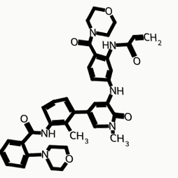 C=CC(=O)Nc1cc(Nc2cc(-c3cccc(NC(=O)c4ccccc4N4CCOCC4)c3C)cn(C)c2=O)ccc1C(=O)N1CCOCC1